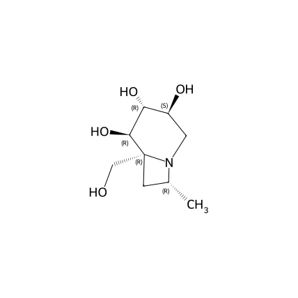 C[C@@H]1C[C@@]2(CO)[C@@H](O)[C@H](O)[C@@H](O)CN12